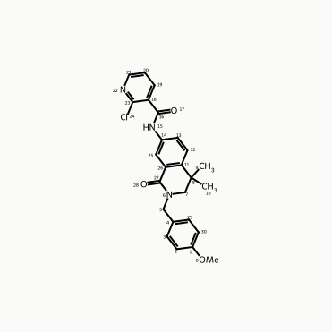 COc1ccc(CN2CC(C)(C)c3ccc(NC(=O)c4cccnc4Cl)cc3C2=O)cc1